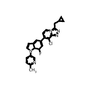 Cc1ccc(N2C=CC3=CC(c4ccn5c(CC6CC6)nnc5c4Cl)=CC(F)C32)cn1